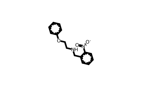 O=[N+]([O-])c1ccccc1CNCCOc1ccccc1